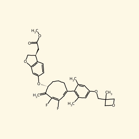 C=C1/C(F)=C(F)\C=C(\c2c(C)cc(OCC3(C)COC3)cc2C)CCC[C@H]1Oc1ccc2c(c1)OC[C@H]2CC(=O)OC